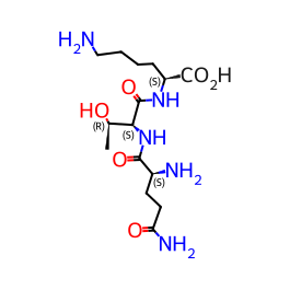 C[C@@H](O)[C@H](NC(=O)[C@@H](N)CCC(N)=O)C(=O)N[C@@H](CCCCN)C(=O)O